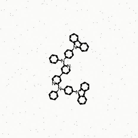 c1ccc(N(c2ccc(-n3c4ccccc4c4ccccc43)cc2)c2cc(-c3ccnc(N(c4ccccc4)c4ccc(-n5c6ccccc6c6ccccc65)cc4)c3)ccn2)cc1